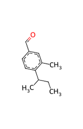 CCC(C)c1ccc(C=O)cc1C